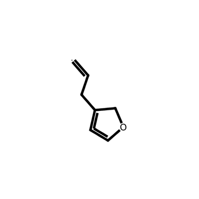 [CH]=CCC1=C=COC1